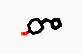 OC1CCCC(=Cc2ccccc2)CCC1